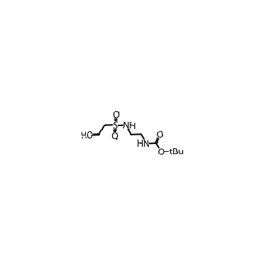 CC(C)(C)OC(=O)NCCNS(=O)(=O)CCO